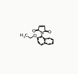 CCOc1ccc2ccccc2c1N1C(=O)C=CC1=O